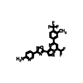 Cc1cc(-c2cc(C(F)F)n3ncc(-c4nc(-c5ccc(N)nc5)no4)c3n2)ccc1C(F)(F)F